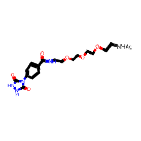 CC(=O)NCCOCCOCCOCCNC(=O)c1ccc(-n2c(=O)[nH][nH]c2=O)cc1